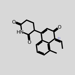 C/C=C1/C(=O)C=C(C2CCC(=O)NC2=O)c2cccc(C)c21